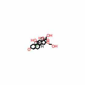 C[C@]12CCC(=O)C=C1CC[C@H]1[C@@H]3C[C@@H](OCCO)[C@](O)(C(=O)CO)[C@@]3(C)C[C@H](O)[C@@]12F